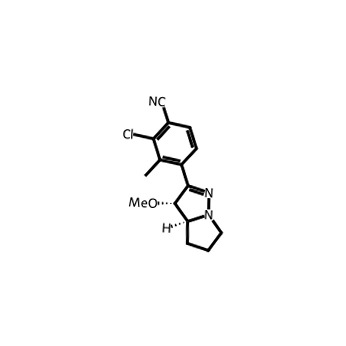 CO[C@@H]1C(c2ccc(C#N)c(Cl)c2C)=NN2CCC[C@@H]12